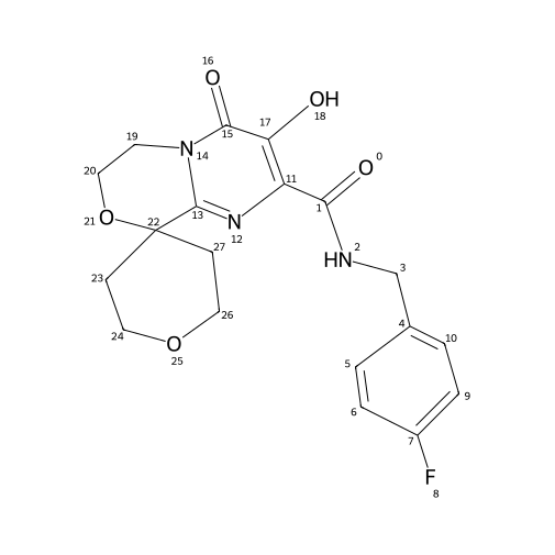 O=C(NCc1ccc(F)cc1)c1nc2n(c(=O)c1O)CCOC21CCOCC1